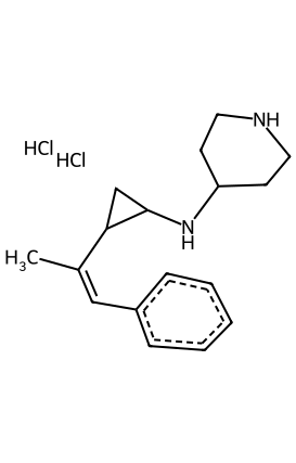 CC(=Cc1ccccc1)C1CC1NC1CCNCC1.Cl.Cl